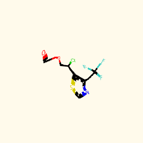 O=COCC(Cl)c1scnc1C(F)(F)F